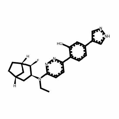 CCN(c1ccc(-c2ccc(-c3cn[nH]c3)cc2O)nn1)[C@H]1C[C@@H]2CC[C@@H](C2)[C@H]1F